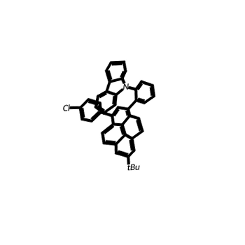 CC(C)(C)c1cc2ccc3c(-c4ccc(Cl)cc4)cc(-c4ccccc4-n4c5ccccc5c5ccccc54)c4ccc(c1)c2c34